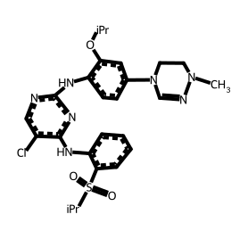 CC(C)Oc1cc(N2C=NN(C)CC2)ccc1Nc1ncc(Cl)c(Nc2ccccc2S(=O)(=O)C(C)C)n1